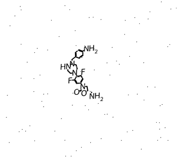 NC[C@H]1CN(c2cc(F)c(N3CCNN(Cc4ccc(N)cc4)CC3)c(F)c2)C(=O)O1